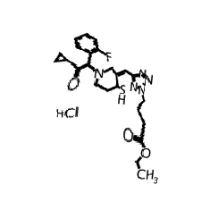 CCOC(=O)CCCn1nnc(C=C2CN(C(C(=O)C3CC3)c3ccccc3F)CCC2S)n1.Cl